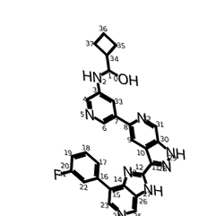 OC(Nc1cncc(-c2cc3c(-c4nc5c(-c6cccc(F)c6)cncc5[nH]4)n[nH]c3cn2)c1)C1CCC1